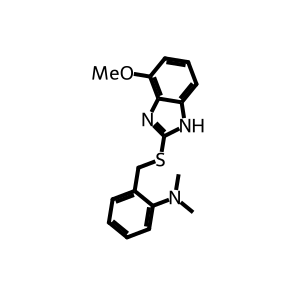 COc1cccc2[nH]c(SCc3ccccc3N(C)C)nc12